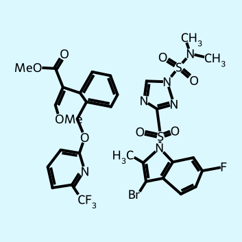 CO/C=C(/C(=O)OC)c1ccccc1COc1cccc(C(F)(F)F)n1.Cc1c(Br)c2ccc(F)cc2n1S(=O)(=O)c1ncn(S(=O)(=O)N(C)C)n1